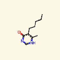 CCCCCc1c(C)[nH][c]nc1=O